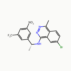 Cc1nnc(N[C@H](C)c2cc([N+](=O)[O-])cc(C(F)(F)F)c2)c2cc(Br)ccc12